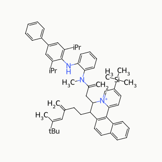 C=C(/C=C(\C)C(C)(C)C)CCC1c2ccc3ccccc3c2-c2ccc([Si](C)(C)C)c[n+]2C1CC(=C)N(C)c1ccccc1Nc1c(C(C)C)cc(-c2ccccc2)cc1C(C)C